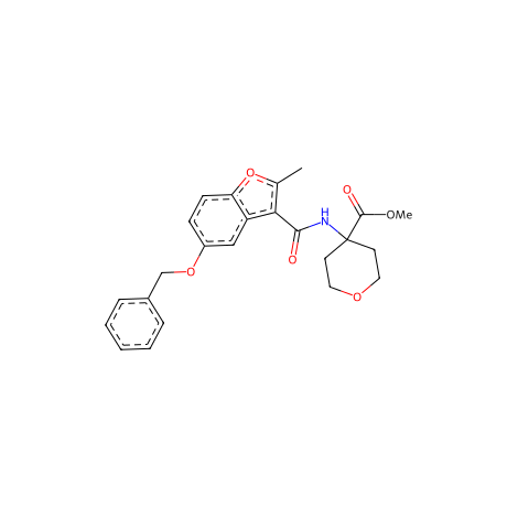 COC(=O)C1(NC(=O)c2c(C)oc3ccc(OCc4ccccc4)cc23)CCOCC1